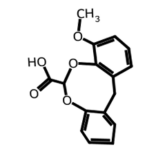 COc1cccc2c1OC(C(=O)O)Oc1ccccc1C2